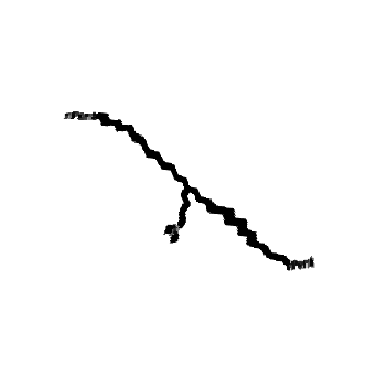 CCCCCC=CCC=CCCCCCCCCC(CCCCCCCCC=CCC=CCCCCC)CCCCN(C)C